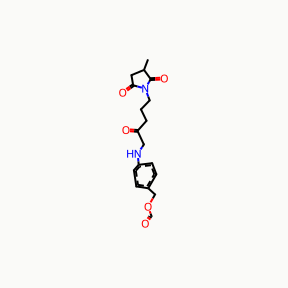 CC1CC(=O)N(CCCC(=O)CNc2ccc(COC=O)cc2)C1=O